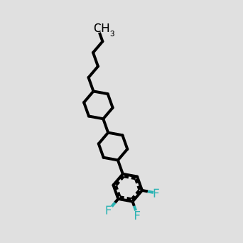 CCCCCC1CCC(C2CCC(c3cc(F)c(F)c(F)c3)CC2)CC1